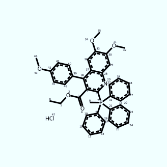 CCOC(=O)c1c(P(C)(c2ccccc2)(c2ccccc2)c2ccccc2)nc2cc(OC)c(OC)cc2c1-c1ccc(OC)cc1.Cl